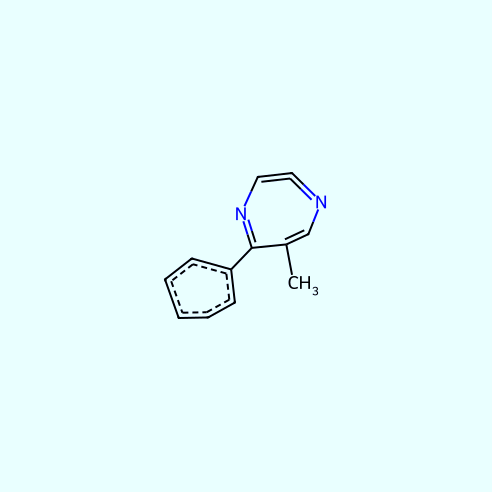 CC1=CN=C=CN=C1c1ccccc1